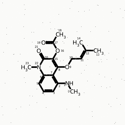 CNc1cccc2c1c(OCC=C(C)C)c(OC(C)=O)c(=O)n2C